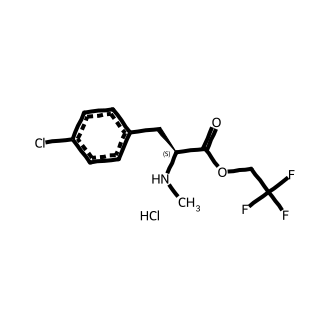 CN[C@@H](Cc1ccc(Cl)cc1)C(=O)OCC(F)(F)F.Cl